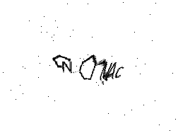 CC(=O)N(C)C[C@H]1CC[C@H](CN2CCCC2)CC1